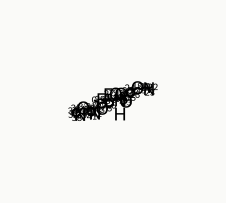 CC[C@@H](Oc1ccc(C(=O)NS(=O)(=O)c2ccc(OCCN(C)C)cc2)c(F)c1F)c1cc(Oc2ccccn2)ccn1